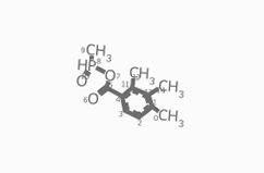 Cc1ccc(C(=O)O[PH](C)=O)c(C)c1C